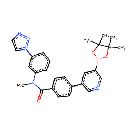 CN(C(=O)c1ccc(-c2cncc(B3OC(C)(C)C(C)(C)O3)c2)cc1)c1cccc(-n2ccnn2)c1